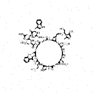 CCCCCCCCCC(=O)N[C@@H](Cc1c[nH]c2ccccc12)C(=O)N[C@@H](CC(N)=O)C(=O)N[C@@H](CC(=O)O)C(=O)N[C@H]1C(=O)NCC(=O)N[C@@H](CCCN)C(=O)N[C@@H](CC(=O)O)C(=O)N[C@H](C)C(=O)N[C@@H](CC(=O)O)C(=O)NCC(=O)N[C@H](CO)C(=O)N[C@H]([C@@H](C)CC(=O)O)C(=O)N[C@@H](CC(=O)c2ccccc2N)C(=O)O[C@@H]1C.Cc1ncc([N+](=O)[O-])n1CCO